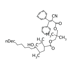 CCCCCCCCCCCCCCCCC(C)CC(C(=O)OCC(C)(C)COC(=O)C(C#N)=C(c1ccccc1)c1ccccc1)C(C)C(=O)O